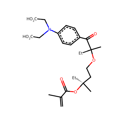 C=C(C)C(=O)O[C@@](C)(CC)CCOC(C)(CC)C(=O)c1ccc(N(CC(=O)O)CC(=O)O)cc1